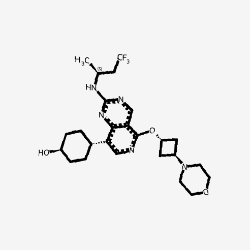 C[C@@H](CC(F)(F)F)Nc1ncc2c(O[C@H]3C[C@H](N4CCOCC4)C3)ncc([C@H]3CC[C@H](O)CC3)c2n1